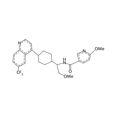 COCC(NC(=O)c1ccc(OC)nc1)C1CCC(c2ccnc3ccc(C(F)(F)F)cc23)CC1